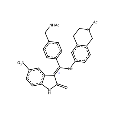 CC(=O)NCc1ccc(/C(Nc2ccc3c(c2)CCN(C(C)=O)C3)=C2/C(=O)Nc3ccc([N+](=O)[O-])cc32)cc1